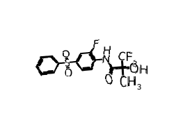 CC(O)(C(=O)Nc1ccc(S(=O)(=O)c2ccccc2)cc1F)C(F)(F)F